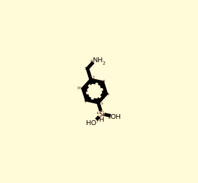 NCc1ccc([SiH](O)O)cc1